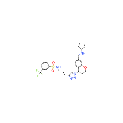 O=S(=O)(NCCCc1cn(C2CCOc3cc(CNC4CCCC4)ccc32)nn1)c1cccc(C(F)(F)F)c1